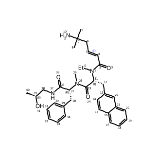 CCN(C(=O)/C=C/CC(C)(C)N)[C@H](Cc1ccc2ccccc2c1)C(=O)N(C)[C@H](Cc1ccccc1)C(=O)NC[C@H](C)O